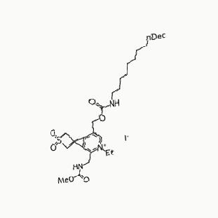 CCCCCCCCCCCCCCCCCCNC(=O)OCc1c[n+](CC)c(CNC(=O)OC)c2c1C21CS(=O)(=O)C1.[I-]